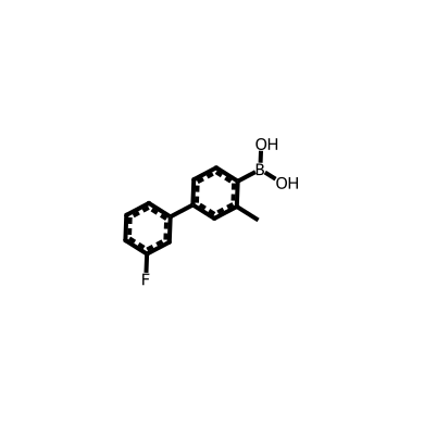 Cc1cc(-c2cccc(F)c2)ccc1B(O)O